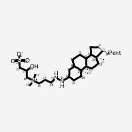 CCC[C@@H](C)[C@H]1CCC2C3CCC4CC(NNCCC[N+](C)(C)CC(O)CS(=O)(=O)[O-])CC[C@]4(C)C3CC[C@@]21C